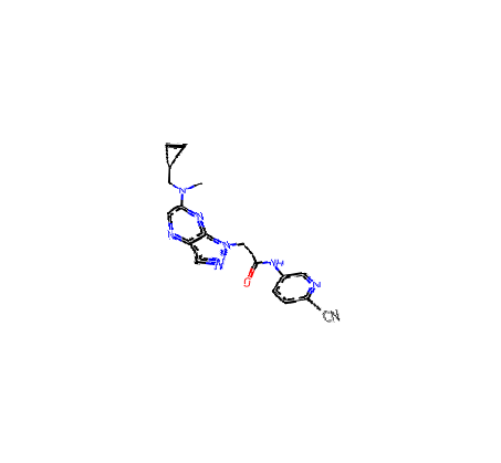 CN(CC1CC1)c1cnc2cnn(CC(=O)Nc3ccc(C#N)nc3)c2n1